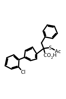 CC(=O)SC(Cc1ccccc1)(C(=O)O)c1ccc(-c2ccccc2Cl)cc1